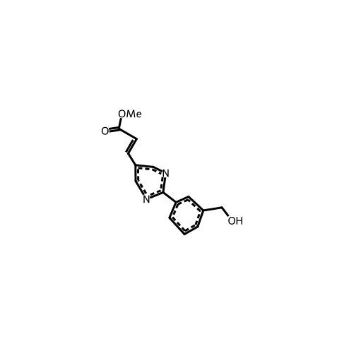 COC(=O)/C=C/c1cnc(-c2cccc(CO)c2)nc1